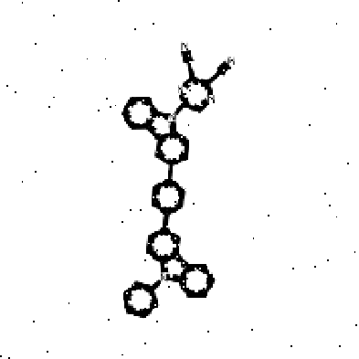 N#Cc1ncc(-n2c3ccccc3c3cc(-c4ccc(-c5ccc6c(c5)c5ccccc5n6-c5ccccc5)cc4)ccc32)nc1C#N